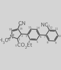 CCOC(=O)C1C(c2ccc(-c3ccccc3C#N)cc2)C(C#N)=CN1C